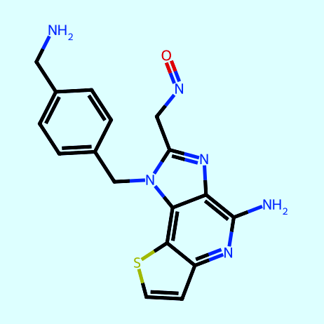 NCc1ccc(Cn2c(CN=O)nc3c(N)nc4ccsc4c32)cc1